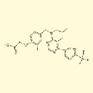 CCCN(Cc1ccc(OCC(=O)O)c(C)c1)c1ncnc(-c2ccc(C(F)(F)F)cc2)c1C